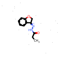 CCC(=O)N/N=C1/COc2ccccc21